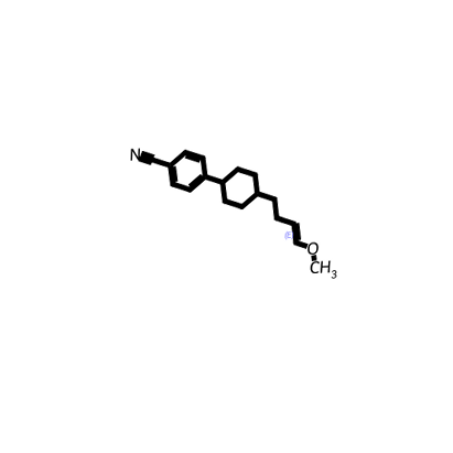 CO/C=C/CCC1CCC(c2ccc(C#N)cc2)CC1